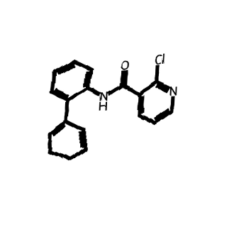 O=C(Nc1ccccc1C1=CCCC=C1)c1cccnc1Cl